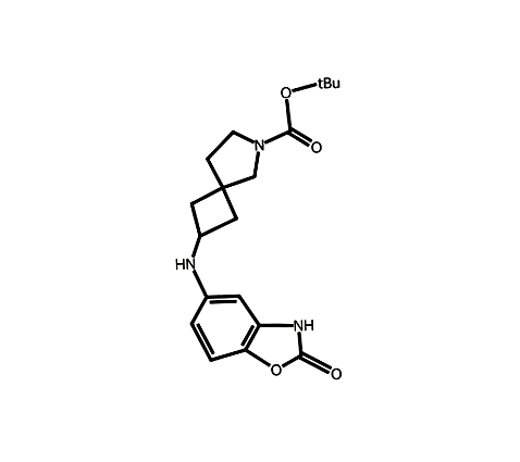 CC(C)(C)OC(=O)N1CCC2(CC(Nc3ccc4oc(=O)[nH]c4c3)C2)C1